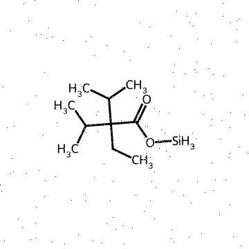 CCC(C(=O)O[SiH3])(C(C)C)C(C)C